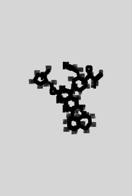 C=C(F)C(=O)N1CCN(c2nc(OC[C@@H]3CCCN3C)nc3nc(-c4cccc5c4SCCC5)c(F)cc23)C[C@@H]1CC#N